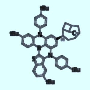 CC(C)(C)c1ccc(N2c3cc(C(C)(C)C)ccc3B3c4sc5ccc(C(C)(C)C)cc5c4N(c4ccc(C(C)(C)C)cc4)c4cc([C@@H]5CCC6CC7CC5C7C6)cc2c43)cc1